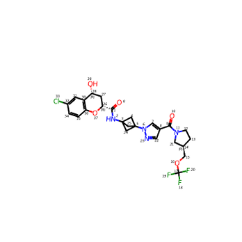 O=C(NC12CC(n3cc(C(=O)N4CC[C@@H](COC(F)(F)F)C4)cn3)(C1)C2)[C@H]1C[C@@H](O)c2cc(Cl)ccc2O1